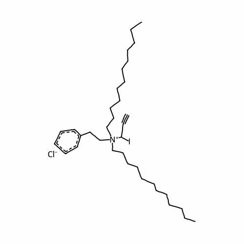 C#CC(I)[N+](CCCCCCCCCCCC)(CCCCCCCCCCCC)CCc1ccccc1.[Cl-]